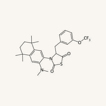 CN(C)c1cc2c(cc1N1C(=O)SC(=O)C1Cc1cccc(OC(F)(F)F)c1)C(C)(C)CCC2(C)C